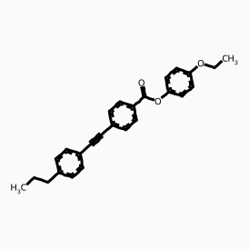 CCCc1ccc(C#Cc2ccc(C(=O)Oc3ccc(OCC)cc3)cc2)cc1